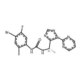 Cc1cc(Br)c(F)cc1NC(=O)N[C@@H](C)c1ncnn1-c1ncccn1